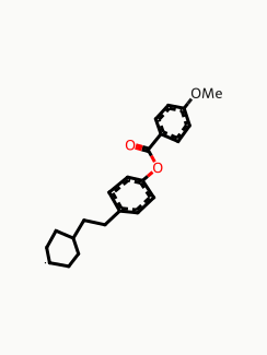 COc1ccc(C(=O)Oc2ccc(CCC3CC[CH]CC3)cc2)cc1